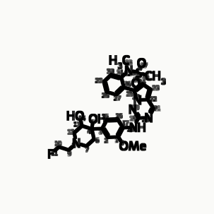 COc1cc(C2(O)CCN(CCF)CC2O)ccc1Nc1ncc2ccc(-c3ccccc3N(C)S(C)(=O)=O)n2n1